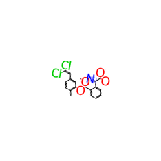 CO/N=C(/C(=O)OC)c1ccccc1COc1cc(C=C(Cl)Cl)ccc1C